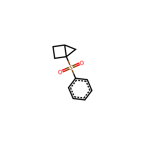 O=S(=O)(c1ccccc1)C12CCC1C2